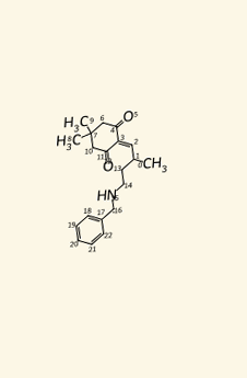 CC(C=C1C(=O)CC(C)(C)CC1=O)CCN[CH]c1ccccc1